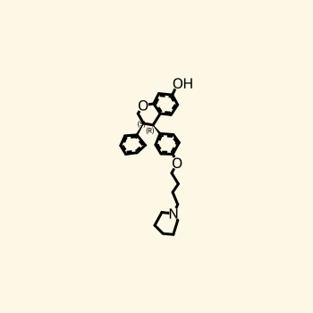 Oc1ccc2c(c1)OC[C@H](c1ccccc1)[C@@H]2c1ccc(OCCCCN2CCCCC2)cc1